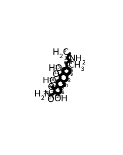 C=CCC(C)(N)Cc1ccc2c(c1O)C(=O)C1=C(O)C3C(=O)C(C(N)=O)=C(O)CC3CC1C2